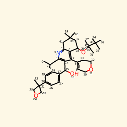 CC(C)c1nc2c(c(C3=CCOCC3)c1C(O)c1ccc(C3(C)COC3)cc1)C(O[Si](C)(C)C(C)(C)C)CC(C)(C)C2